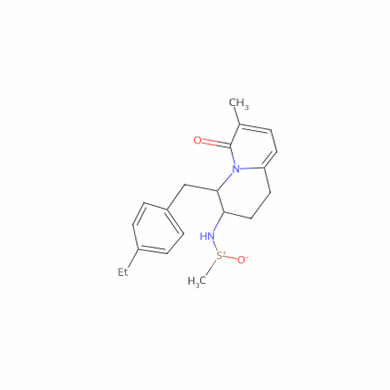 CCc1ccc(CC2C(N[S+](C)[O-])CCc3ccc(C)c(=O)n32)cc1